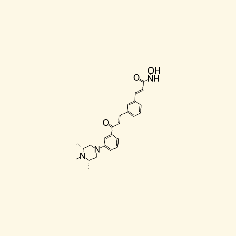 C[C@@H]1CN(c2cccc(C(=O)/C=C/c3cccc(/C=C/C(=O)NO)c3)c2)C[C@H](C)N1C